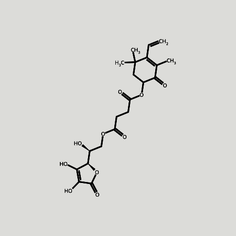 C=CC1=C(C)C(=O)C(OC(=O)CCC(=O)OC[C@H](O)[C@H]2OC(=O)C(O)=C2O)CC1(C)C